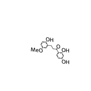 COc1ccc(O)c(CCC(=O)c2ccc(O)cc2O)c1